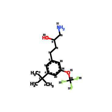 CC(C)(C)c1cc(CCC(O)CN)cc(OC(F)(F)F)c1